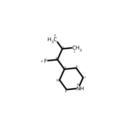 CC(C)C(F)C1CCNCC1